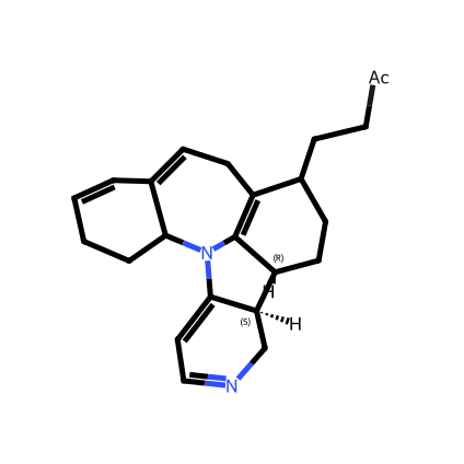 CC(=O)CCC1CC[C@H]2C3=C1CC=C1C=CCCC1N3C1=CC=NC[C@@H]12